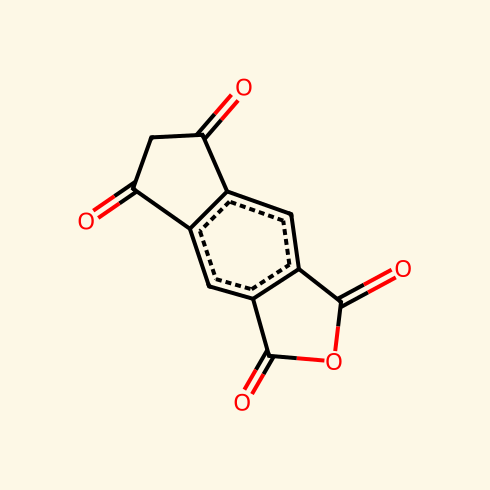 O=C1CC(=O)c2cc3c(cc21)C(=O)OC3=O